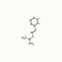 CN(C)CN=Cc1ccccc1